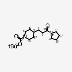 CC(C)(C)OC(=O)N1CCC(CCC(=O)N2C[CH]CC2)CC1